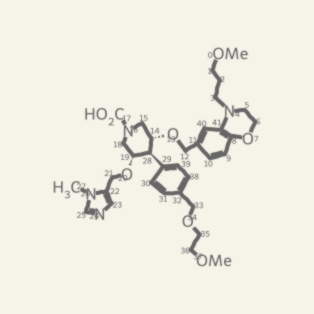 COCCCN1CCOc2ccc(CO[C@H]3CN(C(=O)O)C[C@@H](OCc4cncn4C)[C@@H]3c3ccc(COCCOC)cc3)cc21